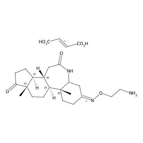 C[C@]12CC/C(=N/OCCN)CC1NC(=O)C[C@@H]1[C@@H]2CC[C@]2(C)C(=O)CC[C@@H]12.O=C(O)/C=C/C(=O)O